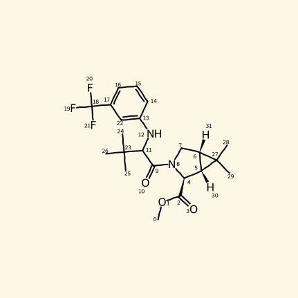 COC(=O)[C@@H]1[C@@H]2[C@H](CN1C(=O)C(Nc1cccc(C(F)(F)F)c1)C(C)(C)C)C2(C)C